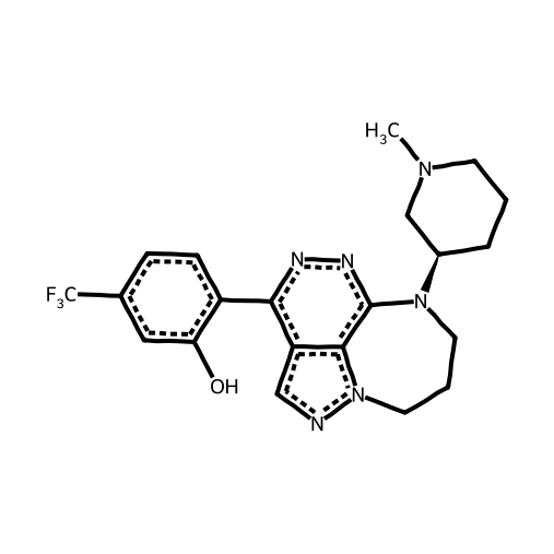 CN1CCC[C@@H](N2CCCn3ncc4c(-c5ccc(C(F)(F)F)cc5O)nnc2c43)C1